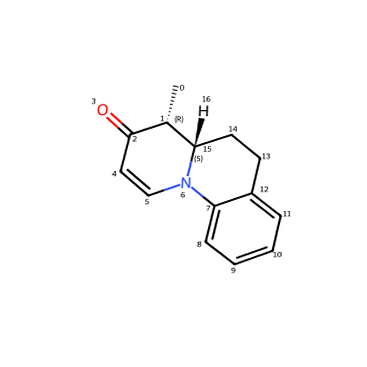 C[C@H]1C(=O)C=CN2c3ccccc3CC[C@@H]12